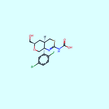 O=C(O)NC1=N[C@@]2(c3cc(Br)ccc3F)CO[C@@H](CO)C[C@H]2CS1